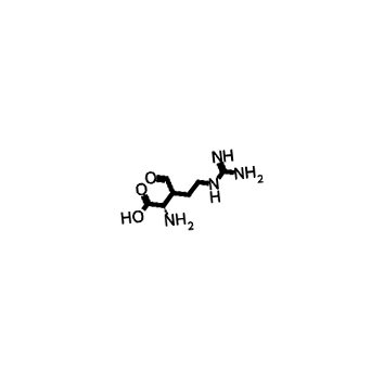 N=C(N)NCCC(C=O)[C@H](N)C(=O)O